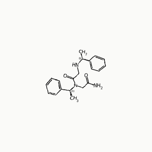 C[C@H](NCC(=O)N(CC(N)=O)[C@@H](C)c1ccccc1)c1ccccc1